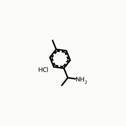 Cc1ccc(C(C)N)cc1.Cl